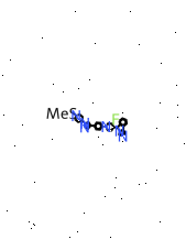 CSN1CCC(n2cc(-c3ccc(N4CCC(C5c6c(F)cccc6-c6cncn65)CC4)cc3)cn2)CC1